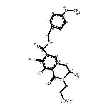 COCCN1C(=O)c2c(O)c(=O)c(C(=O)NCc3ccc(OC(F)(F)F)cc3)cn2CC1O